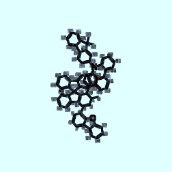 CC1C=C(c2cccc3c2oc2ccccc23)C2=C(C1c1ccc(N(c3ccc4c(c3)C(C)(C)c3ccccc3-4)c3ccccc3-c3ccccc3)cc1)C1(c3ccccc32)c2ccccc2-c2ccccc21